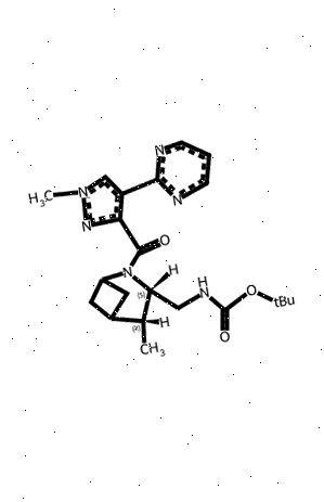 C[C@@H]1C2CC(C2)N(C(=O)c2nn(C)cc2-c2ncccn2)[C@@H]1CNC(=O)OC(C)(C)C